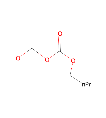 CCCCOC(=O)OC[O]